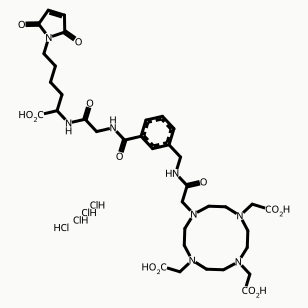 Cl.Cl.Cl.Cl.O=C(O)CN1CCN(CC(=O)O)CCN(CC(=O)NCc2cccc(C(=O)NCC(=O)NC(CCCCN3C(=O)C=CC3=O)C(=O)O)c2)CCN(CC(=O)O)CC1